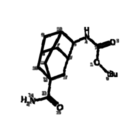 CC(C)(C)OC(=O)NC1C2CC3CC1CC(C(N)=O)(C3)C2